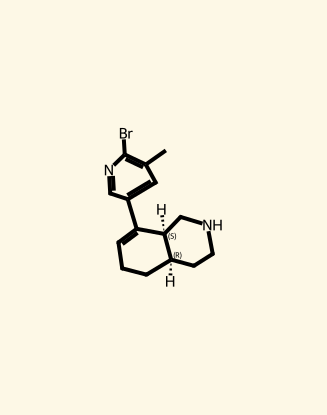 Cc1cc(C2=CCC[C@@H]3CCNC[C@H]23)cnc1Br